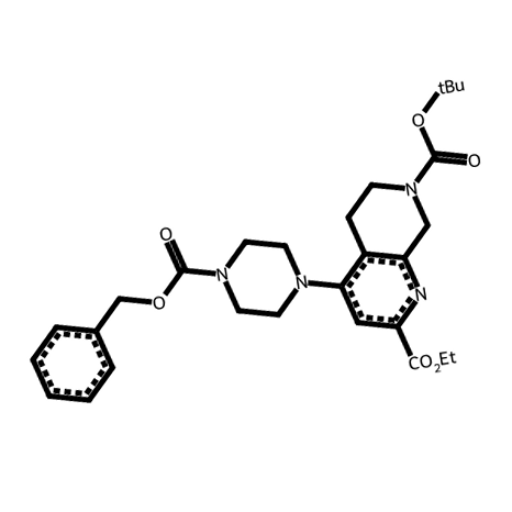 CCOC(=O)c1cc(N2CCN(C(=O)OCc3ccccc3)CC2)c2c(n1)CN(C(=O)OC(C)(C)C)CC2